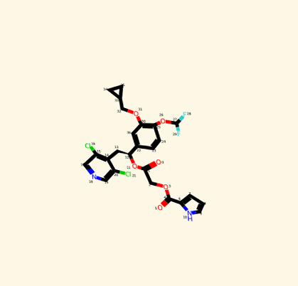 O=C(COC(=O)c1ccc[nH]1)O[C@@H](Cc1c(Cl)cncc1Cl)c1ccc(OC(F)F)c(OCC2CC2)c1